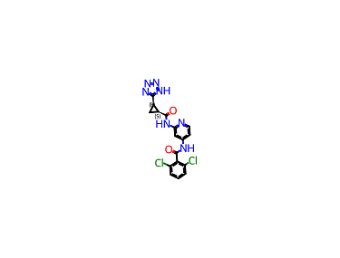 O=C(Nc1ccnc(NC(=O)[C@H]2C[C@H]2c2nnn[nH]2)c1)c1c(Cl)cccc1Cl